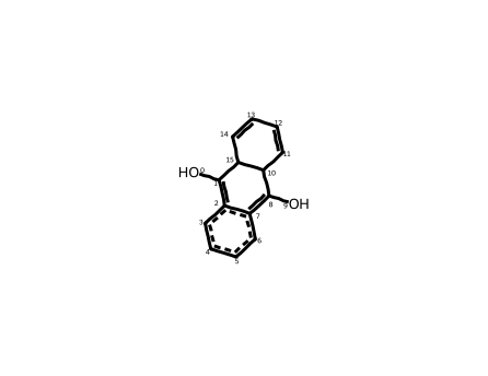 OC1=c2ccccc2=C(O)C2C=CC=CC12